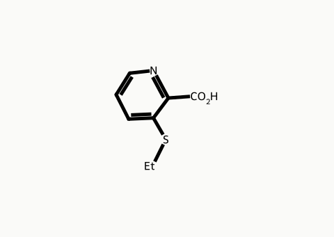 CCSc1cccnc1C(=O)O